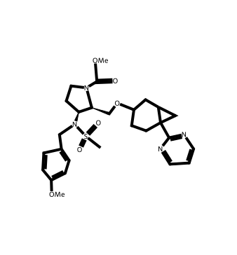 COC(=O)N1CC[C@H](N(Cc2ccc(OC)cc2)S(C)(=O)=O)[C@@H]1COC1CCC2(c3ncccn3)CC2C1